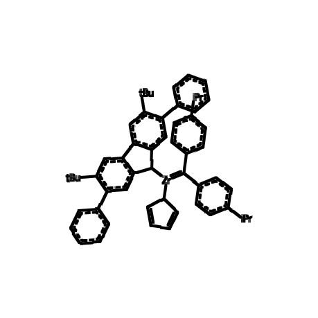 CC(C)c1ccc([C](c2ccc(C(C)C)cc2)=[Zr]([CH]2C=CC=C2)[CH]2c3cc(-c4ccccc4)c(C(C)(C)C)cc3-c3cc(C(C)(C)C)c(-c4ccccc4)cc32)cc1